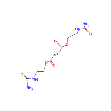 NC(=O)NCCOC(=O)/C=C/C(=O)OCCNC(N)=O